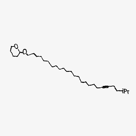 CC(C)CCC#CCCCCCCCCCCCCCCCCCCCOC1CCCCO1